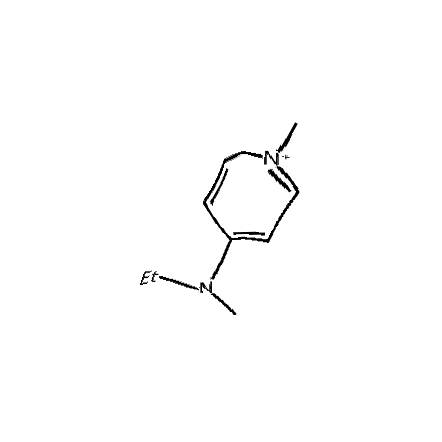 CCN(C)c1cc[n+](C)cc1